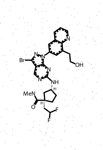 CNC(=O)[C@]1(CC(F)F)CC[C@@H](Nc2ncc3c(Br)nn(-c4cc(CCO)c5ncccc5c4)c3n2)C1